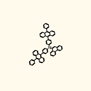 C1=CC2C(c3ccccc3)=c3ccccc3=C(c3ccc(N(c4ccc(-c5c6ccccc6c(-c6ccccc6)c6ccccc56)cc4)c4cc5ccccc5c5ccccc45)cc3)C2C=C1